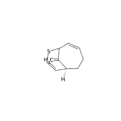 C=C1C2C=CCC[C@H]1C=CS2